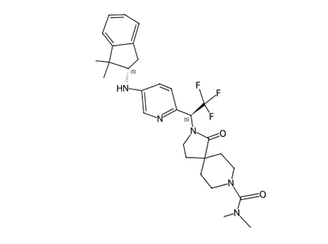 CN(C)C(=O)N1CCC2(CC1)CCN([C@@H](c1ccc(N[C@H]3Cc4ccccc4C3(C)C)cn1)C(F)(F)F)C2=O